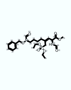 CCOP(=O)(CC(=CC(NC=O)C(=O)OC)CCCCN(C=O)OCc1ccccc1)OCC